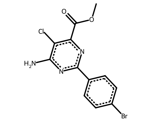 COC(=O)c1nc(-c2ccc(Br)cc2)nc(N)c1Cl